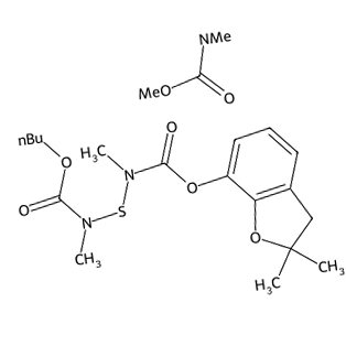 CCCCOC(=O)N(C)SN(C)C(=O)Oc1cccc2c1OC(C)(C)C2.CNC(=O)OC